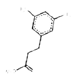 COC(=O)CCc1cc(C(F)(F)F)cc(C(F)(F)F)c1